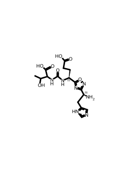 CC(O)C(NC(=O)N[C@@H](CCC(=O)O)c1nc([C@@H](N)Cc2cnc[nH]2)no1)C(=O)O